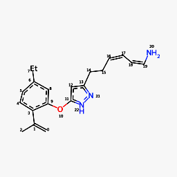 C=C(C)c1ccc(CC)cc1Oc1cc(CC/C=C\C=C/N)n[nH]1